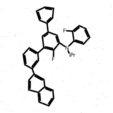 CC(C)N(c1ccccc1F)c1cc(-c2ccccc2)cc(-c2cccc(-c3ccc4ccccc4c3)c2)c1F